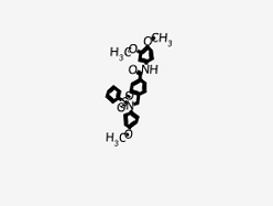 COc1ccc(N(Cc2ccc(C(=O)Nc3ccc(OC)c(OC)c3)cc2)S(=O)(=O)c2ccccc2)cc1